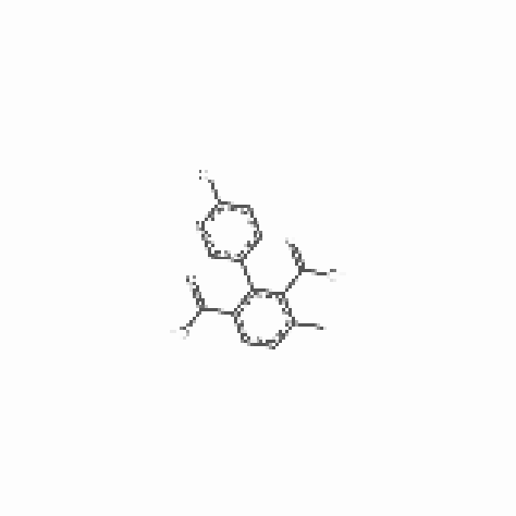 Cc1ccc(C(=O)O)c(-c2ccc(Cl)nc2)c1C(=O)O